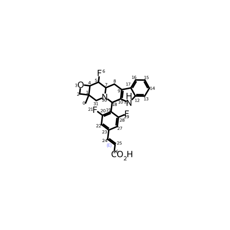 CC12COC1C(F)C1Cc3c([nH]c4ccccc34)C(c3c(F)cc(/C=C/C(=O)O)cc3F)N1C2